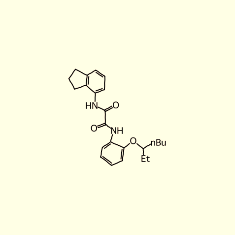 CCCCC(CC)Oc1ccccc1NC(=O)C(=O)Nc1cccc2c1CCC2